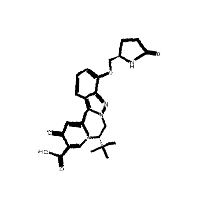 CC(C)(C)[C@H]1Cn2nc3c(OC[C@H]4CCC(=O)N4)cccc3c2-c2cc(=O)c(C(=O)O)cn21